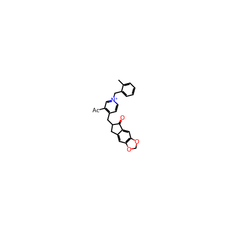 CC(=O)c1c[n+](Cc2ccccc2C)ccc1CC1Cc2cc3c(cc2C1=O)OCO3